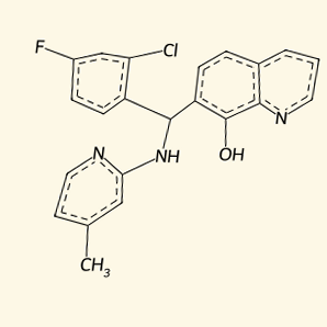 Cc1ccnc(NC(c2ccc(F)cc2Cl)c2ccc3cccnc3c2O)c1